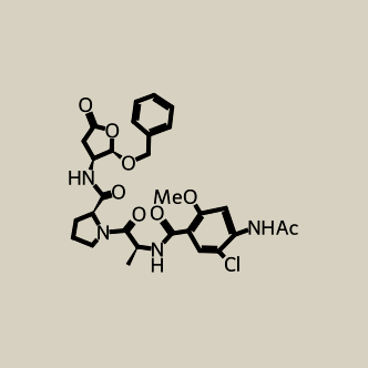 COc1cc(NC(C)=O)c(Cl)cc1C(=O)N[C@@H](C)C(=O)N1CCC[C@H]1C(=O)N[C@H]1CC(=O)O[C@H]1OCc1ccccc1